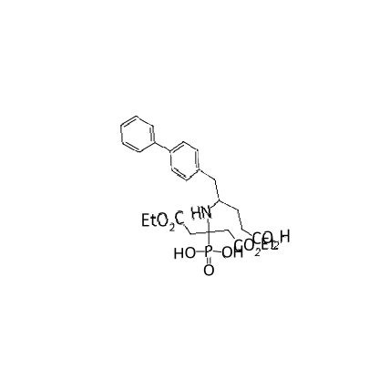 CCOC(=O)CC(CC(=O)OCC)(NC(CCC(=O)O)Cc1ccc(-c2ccccc2)cc1)P(=O)(O)O